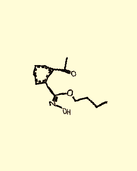 CCCCOC(=NO)c1ccccc1C(C)=O